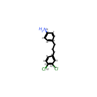 Nc1ccc(CCCc2ccc(Cl)c(Cl)c2)cc1